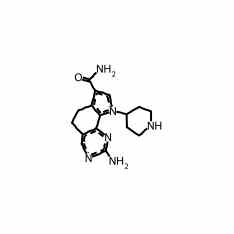 NC(=O)c1cn(C2CCNCC2)c2c1CCc1cnc(N)nc1-2